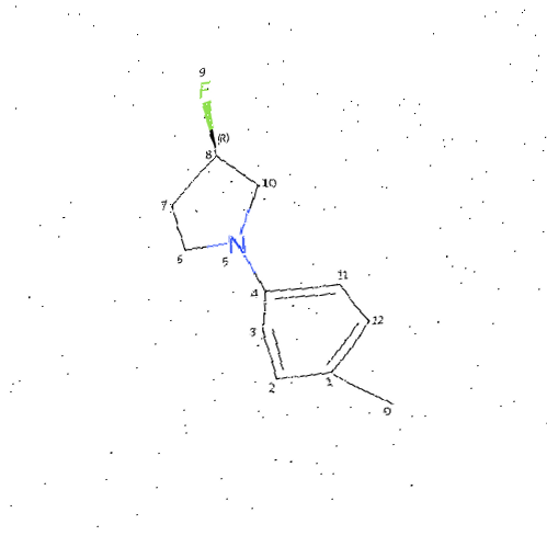 Cc1ccc(N2CC[C@@H](F)C2)cc1